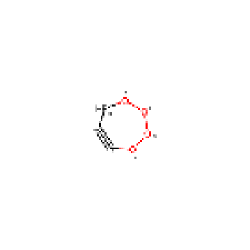 B1C#COOOO1